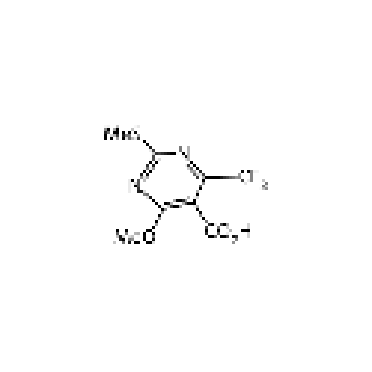 COc1nc(SC)nc(C(F)(F)F)c1C(=O)O